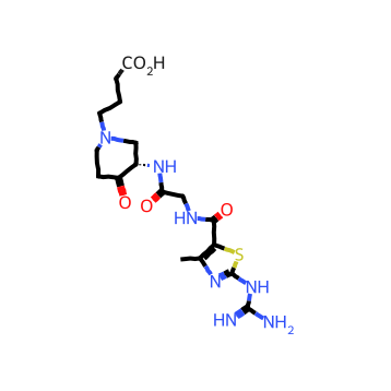 Cc1nc(NC(=N)N)sc1C(=O)NCC(=O)N[C@H]1CN(CCCC(=O)O)CCC1=O